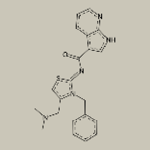 CN(C)Cc1cs/c(=N\C(=O)c2c[nH]c3ncccc23)n1Cc1ccccc1